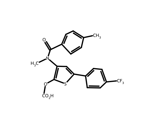 Cc1ccc(C(=O)N(C)c2cc(-c3ccc(C(F)(F)F)cc3)sc2OC(=O)O)cc1